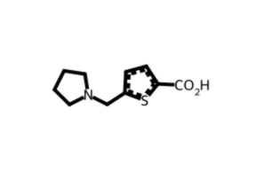 O=C(O)c1ccc(CN2CCCC2)s1